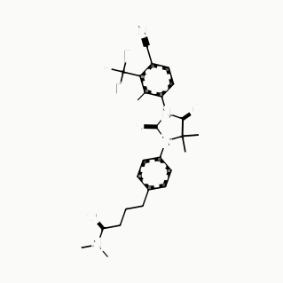 CN(C)C(=O)CCCc1ccc(N2C(=S)N(c3ccc(C#N)c(C(F)(F)F)c3F)C(=O)C2(C)C)cc1